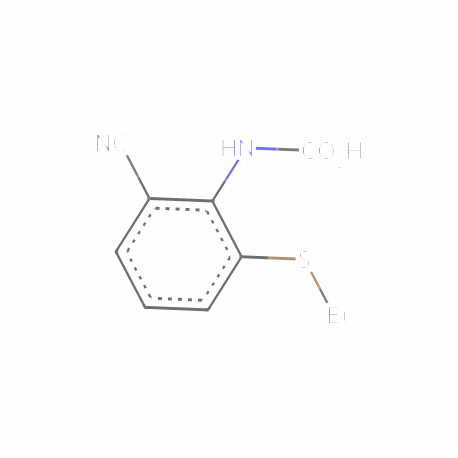 CCSc1cccc(C#N)c1NC(=O)O